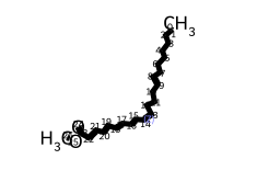 CCCCCCCCC=CCCC/C=C\C=CC=CC=CC=CC(=O)OC